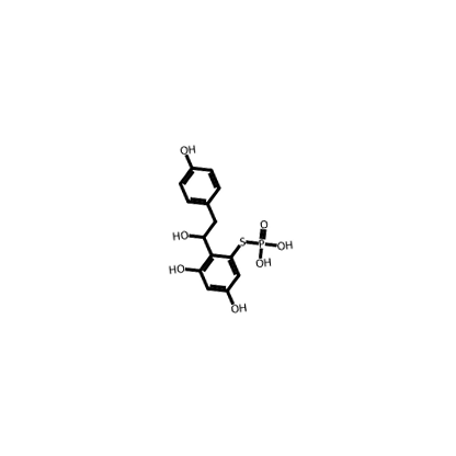 O=P(O)(O)Sc1cc(O)cc(O)c1C(O)Cc1ccc(O)cc1